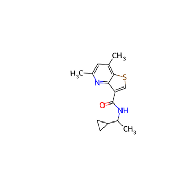 Cc1cc(C)c2scc(C(=O)NC(C)C3CC3)c2n1